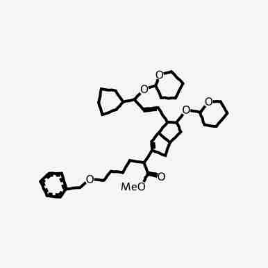 COC(=O)C(CCCCOCc1ccccc1)C1=CC2C(C1)CC(OC1CCCCO1)C2C=CC(OC1CCCCO1)C1CCCCC1